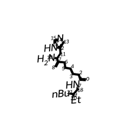 C=C(CCCCCC(=C)C(N)Cc1cnc[nH]1)NCC(CC)CCCC